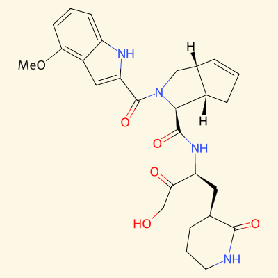 COc1cccc2[nH]c(C(=O)N3C[C@@H]4C=CC[C@@H]4[C@H]3C(=O)N[C@@H](C[C@@H]3CCCNC3=O)C(=O)CO)cc12